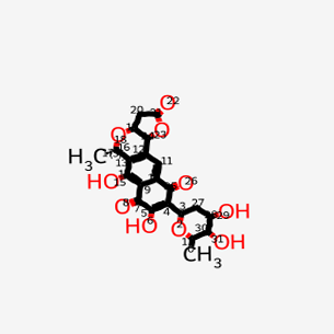 CC1OC(C2=C(O)C(=O)c3c(cc4c(c3O)[C@H](C)OC3CC(=O)OC43)C2=O)CC(O)C1O